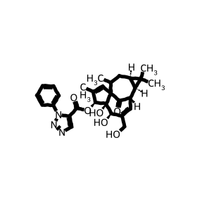 CC1=CC23C(=O)[C@@H](C=C(CO)[C@@H](O)[C@]2(O)[C@H]1OC(=O)c1cnnn1-c1ccccc1)[C@H]1[C@@H](CC3C)C1(C)C